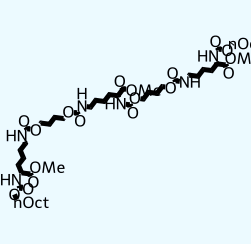 CCCCCCCCOC(=O)NC(CCCCNC(=O)OCCCCOC(=O)NCCCCC(NC(=O)OCCCCOC(=O)NCCCCC(NC(=O)OCCCCCCCC)C(=O)OC)C(=O)OC)C(=O)OC